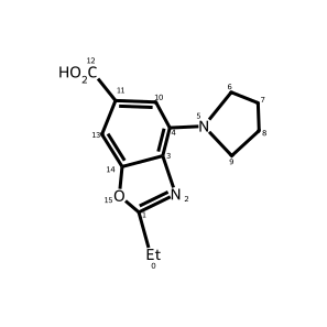 CCc1nc2c(N3CCCC3)cc(C(=O)O)cc2o1